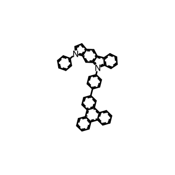 c1ccc(-n2ccc3cc4c5ccccc5n(-c5ccc(-c6ccc7c8ccccc8c8ccccc8c7c6)cc5)c4cc32)cc1